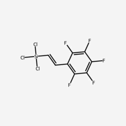 Fc1c(F)c(F)c(C=C[Si](Cl)(Cl)Cl)c(F)c1F